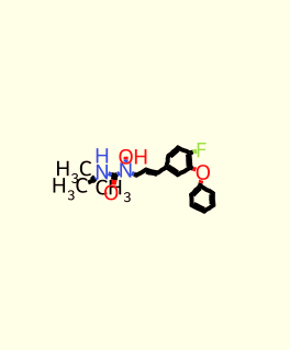 CC(C)(C)NC(=O)N(O)C/C=C/c1ccc(F)c(Oc2ccccc2)c1